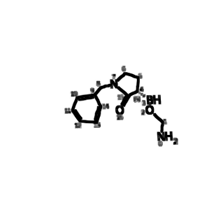 NCOB[C@H]1CCN(Cc2ccccc2)C1=O